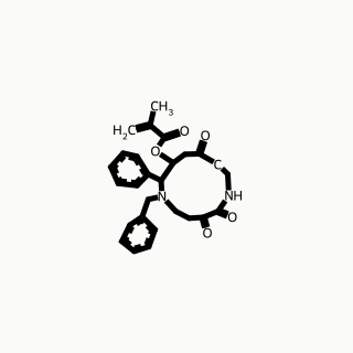 C=C(C)C(=O)OC1CC(=O)CCNC(=O)C(=O)CCN(Cc2ccccc2)C1c1ccccc1